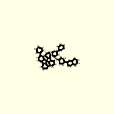 c1ccc(-c2cccc(N(c3ccc(-c4ccc5ccccc5c4)cc3)c3cccc4c3-c3ccccc3C43c4ccccc4-c4ccc(-c5ccccc5)cc43)c2)cc1